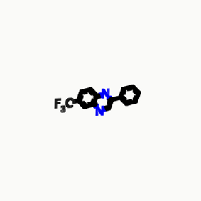 FC(F)(F)c1ccc2nc(-c3ccccc3)cnc2c1